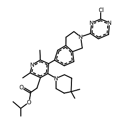 Cc1nc(C)c(-c2ccc3c(c2)CCN(c2ccnc(Cl)n2)C3)c(N2CCC(C)(C)CC2)c1CC(=O)OC(C)C